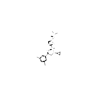 Cc1cc(C)cc(C(=N)CN(C2CC2)S(=O)(=O)c2ncn(S(=O)(=O)N(C)C)n2)c1